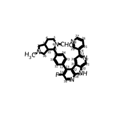 CN1CC2CCN(C=O)C(c3ccc(-c4c(F)cnc5[nH]c6cnc(-c7cccnc7)cc6c45)cc3)C2C1